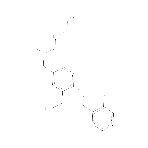 COBNCN(C)Cc1ccc(OCc2ccccc2C)c(CO)c1